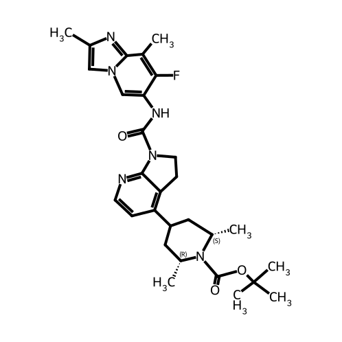 Cc1cn2cc(NC(=O)N3CCc4c(C5C[C@@H](C)N(C(=O)OC(C)(C)C)[C@@H](C)C5)ccnc43)c(F)c(C)c2n1